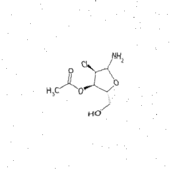 CC(=O)O[C@@H]1[C@@H](CO)OC(N)[C@@H]1Cl